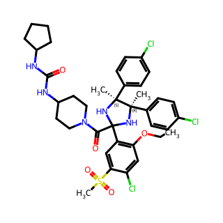 CCOc1cc(Cl)c(S(C)(=O)=O)cc1C1(C(=O)N2CCC(NC(=O)NC3CCCC3)CC2)N[C@@](C)(c2ccc(Cl)cc2)[C@@](C)(c2ccc(Cl)cc2)N1